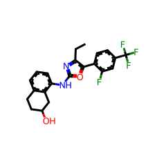 CCc1nc(Nc2cccc3c2CC(O)CC3)oc1-c1ccc(C(F)(F)F)cc1F